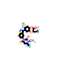 Cc1ccc(OC(CC(F)(F)F)C(=O)O)cc1-c1nsc2ccc(-n3c(=O)cc(C(F)(F)F)n(C)c3=O)cc12